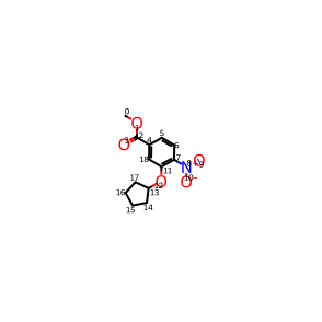 COC(=O)c1ccc([N+](=O)[O-])c(OC2CCCC2)c1